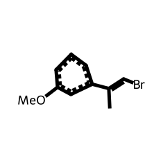 COc1cccc(C(C)=CBr)c1